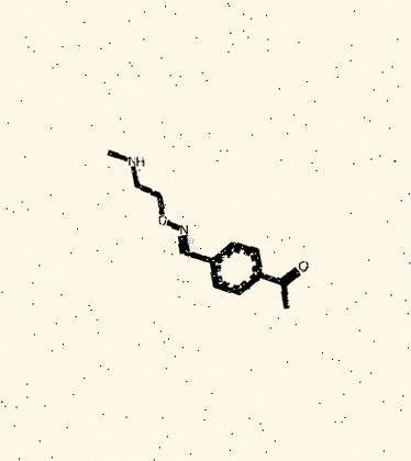 CNCCO/N=C/c1ccc(C(C)=O)cc1